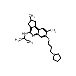 Cc1cc2c3c(c(NC(C)C)nc2cc1OCCCN1CCCC1)CC(C)C3